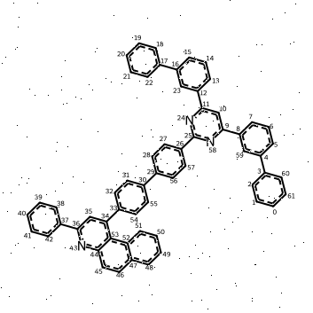 c1ccc(-c2cccc(-c3cc(-c4cccc(-c5ccccc5)c4)nc(-c4ccc(-c5ccc(-c6cc(-c7ccccc7)nc7ccc8ccccc8c67)cc5)cc4)n3)c2)cc1